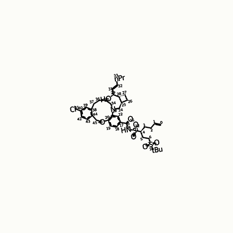 C=CCC[C@@H](CCS(=O)(=O)C(C)(C)C)S(=O)(=O)NC(=O)c1ccc2c(c1)N(C[C@@H]1CC[C@H]1[C@@H](O)/C=C/CCC)CCCCc1cc(Cl)ccc1CO2